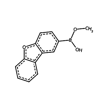 COB(O)c1ccc2oc3ccccc3c2c1